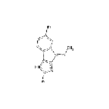 C/N=C1\c2cc(C(C)C)ccc2-c2[nH]c(C(C)C)nc21